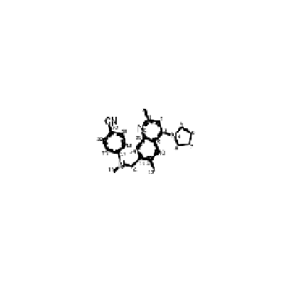 Cc1cc(N2CCCC2)c2cc(C)c(CN(C)c3ccc(C#N)cc3)cc2n1